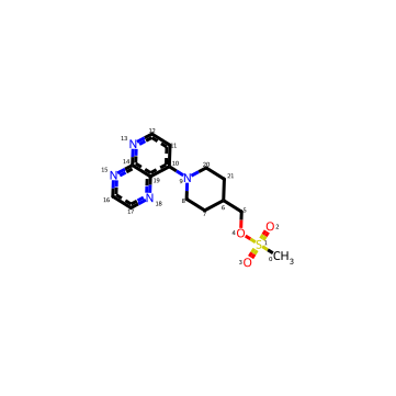 CS(=O)(=O)OCC1CCN(c2ccnc3nccnc23)CC1